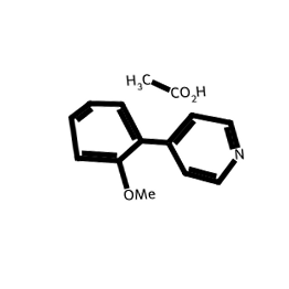 CC(=O)O.COc1ccccc1-c1ccncc1